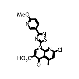 COc1ccc(-c2nsc(-n3cc(C(=O)O)c(=O)c4c(C)cc(Cl)nc43)n2)cn1